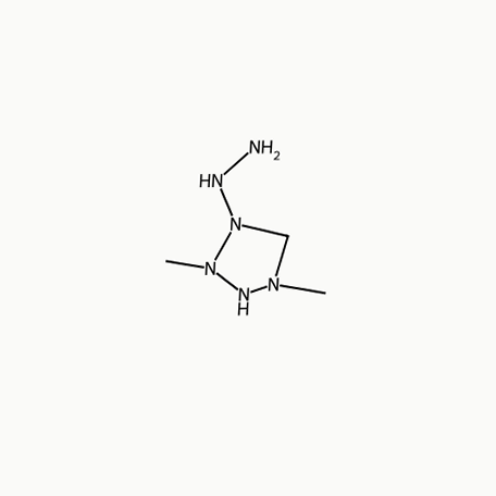 CN1CN(NN)N(C)N1